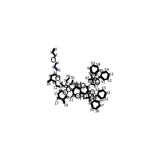 C=CCOC/C=C/[C@H]1CC(=C)[C@H](CC[C@H]2C[C@@H](C)C(=C)[C@@H](C[C@@H]3O[C@H]4C[C@@H](O[Si](c5ccccc5)(c5ccccc5)C(C)(C)C)[C@@H](CCO[Si](c5ccccc5)(c5ccccc5)C(C)(C)C)O[C@H]4[C@H](C)[C@H]3O[Si](CC)(CC)CC)O2)O1